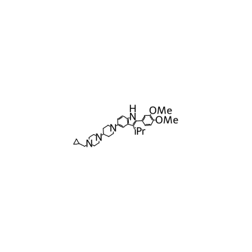 COc1ccc(-c2[nH]c3ccc(N4CCC(N5CCN(CC6CC6)CC5)CC4)cc3c2C(C)C)cc1OC